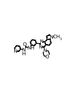 Cn1ccc2c3nc(-c4cccc(NC(=O)Nc5cccnc5)c4)nc(N4CCOCC4)c3ccc21